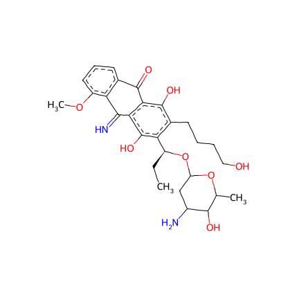 CC[C@H](OC1CC(N)C(O)C(C)O1)c1c(O)c2c(c(O)c1CCCCO)C(=O)c1cccc(OC)c1C2=N